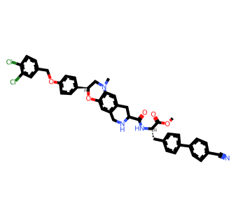 COC(=O)[C@H](Cc1ccc(-c2ccc(C#N)cc2)cc1)NC(=O)C1Cc2cc3c(cc2CN1)O[C@@H](c1ccc(OCc2ccc(Cl)c(Cl)c2)cc1)CN3C